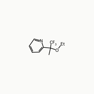 CCOC(C)(c1ccccn1)C(F)(F)F